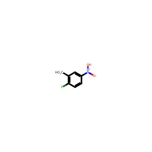 O=C(O)c1cc([NH+]([O-])O)ccc1F